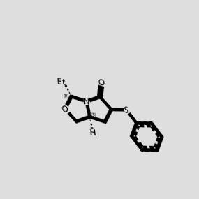 CC[C@H]1OC[C@@H]2CC(Sc3ccccc3)C(=O)N21